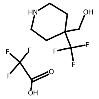 O=C(O)C(F)(F)F.OCC1(C(F)(F)F)CCNCC1